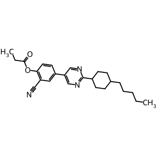 CCCCCC1CCC(c2ncc(-c3ccc(OC(=O)CC)c(C#N)c3)cn2)CC1